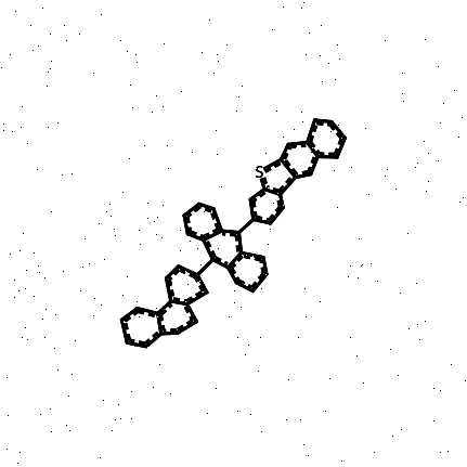 c1ccc2cc3c(cc2c1)sc1cc(-c2c4ccccc4c(-c4ccc5c(ccc6ccccc65)c4)c4ccccc24)ccc13